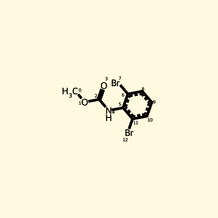 COC(=O)Nc1c(Br)cccc1Br